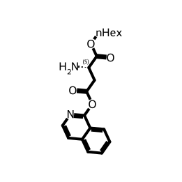 CCCCCCOC(=O)[C@@H](N)CC(=O)Oc1nccc2ccccc12